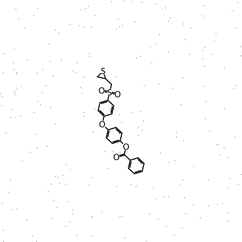 O=C(Oc1ccc(Oc2ccc(S(=O)(=O)CC3CS3)cc2)cc1)c1ccccc1